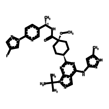 BC(B)(B)n1ncc2c(Nc3cc(C)[nH]n3)nc([C@H]3CC[C@](OC)(C(=O)N[C@@H](C)c4ccc(-n5cc(F)cn5)nc4)CC3)nc21